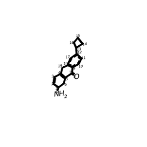 NC1C=CC2=C(C1)C(=O)c1ccc(C3CCC3)cc1C2